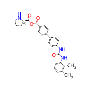 Cc1cccc(NC(=O)Nc2ccc(-c3ccc(C(=O)OC(=O)[C@H]4CCCN4)cc3)cc2)c1C